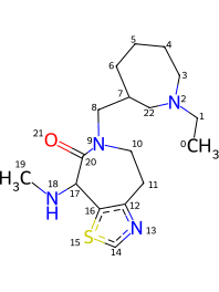 CCN1CCCCC(CN2CCc3ncsc3C(NC)C2=O)C1